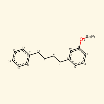 CCCOc1cccc(CCCCc2ccccc2)c1